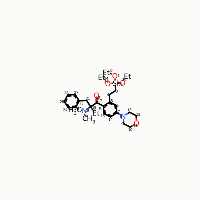 CCO[Si](CCc1cc(N2CCOCC2)ccc1C(=O)C(CC)(Cc1ccccc1)N(C)C)(OCC)OCC